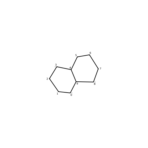 [CH]1CC[CH]C2CCC[CH]C12